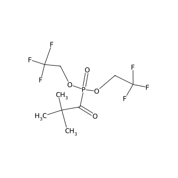 CC(C)(C)C(=O)P(=O)(OCC(F)(F)F)OCC(F)(F)F